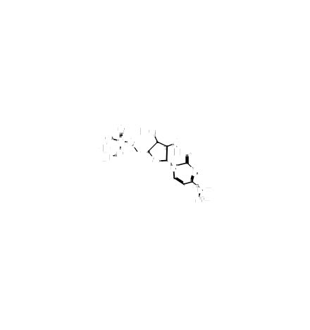 CCOP(=O)(OCC)OC[C@H]1O[C@@H](n2ccc(NO)nc2=O)C(O)C1O